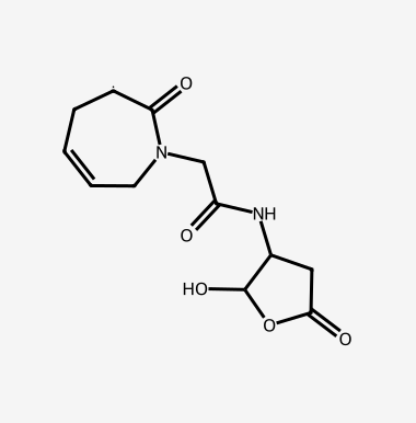 O=C(CN1CC=CC[CH]C1=O)NC1CC(=O)OC1O